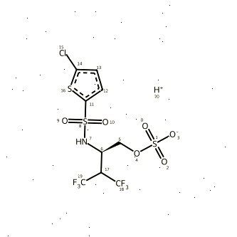 O=S(=O)([O-])OC[C@H](NS(=O)(=O)c1ccc(Cl)s1)C(C(F)(F)F)C(F)(F)F.[H+]